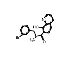 CN(Cc1cccc(Br)c1)C(=O)c1ccc2cccnc2c1O